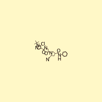 CN(CC(=O)N1CC(C(=O)Nc2ccccc2)CC1C#N)C(=O)c1cnn(C(C)(C)C)c1Cl